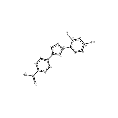 O=C(O)c1ccc(-c2cnn(-c3ccc(F)cc3F)c2)cc1